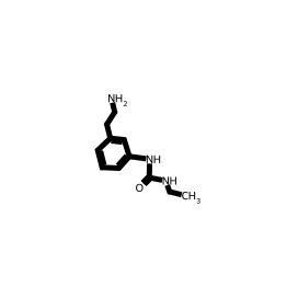 CCNC(=O)Nc1cccc(CCN)c1